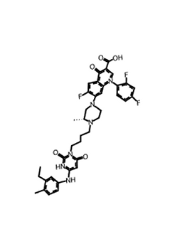 CCc1cc(Nc2cc(=O)n(CCCCN3CCN(c4cc5c(cc4F)c(=O)c(C(=O)O)cn5-c4ccc(F)cc4F)C[C@H]3C)c(=O)[nH]2)ccc1C